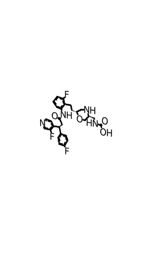 O=C(O)NC[C@H]1CO[C@H](CCc2c(F)cccc2NC(=O)C[C@@H](c2ccc(F)cc2)c2ccncc2F)CN1